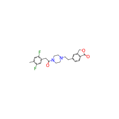 Cc1cc(F)c(CC(=O)N2CCN(CCc3ccc4c(c3)COC4=O)CC2)cc1F